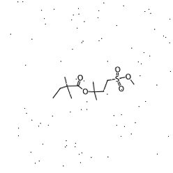 CCC(C)(C)C(=O)OC(C)(C)CCS(=O)(=O)OC